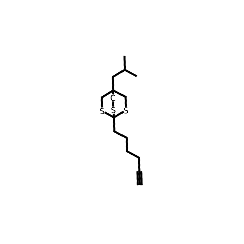 C#CCCCCC12SCC(CC(C)C)(CS1)CS2